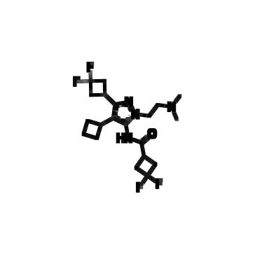 CN(C)CCn1nc(C2CC(F)(F)C2)c(C2CCC2)c1NC(=O)C1CC(F)(F)C1